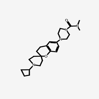 CN(C)C(=O)N1CCN(c2ccc3c(c2)CCC2(CCN(C4CCC4)CC2)O3)CC1